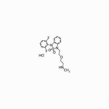 CNCCOCCN1c2ccccc2N(c2c(F)cccc2F)S1(=O)=O.Cl